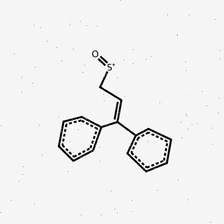 O=[S+]CC=C(c1ccccc1)c1ccccc1